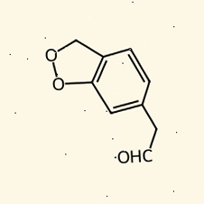 O=[C]Cc1ccc2c(c1)OOC2